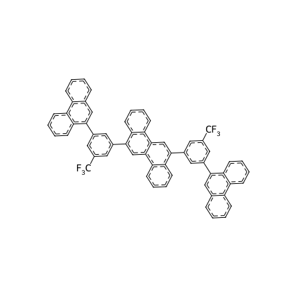 FC(F)(F)c1cc(-c2cc3ccccc3c3ccccc23)cc(-c2cc3c4ccccc4c(-c4cc(-c5cc6ccccc6c6ccccc56)cc(C(F)(F)F)c4)cc3c3ccccc23)c1